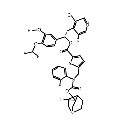 CCOc1cc([C@H](Cc2c(Cl)cncc2Cl)OC(=O)c2ccc(CN(C(=O)O[C@H]3CN4CCC3CC4)c3ccccc3F)s2)ccc1OC(F)F